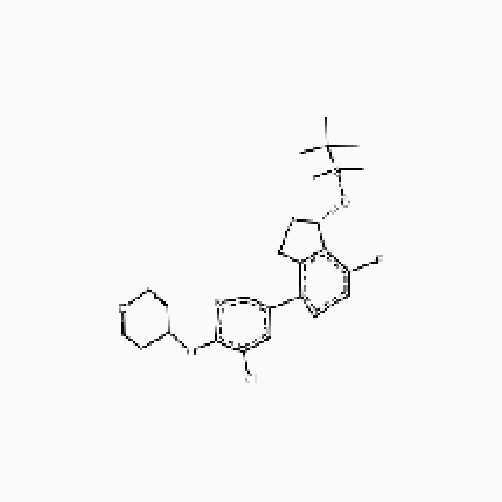 CC(C)(C)[Si](C)(C)O[C@H]1CCc2c(-c3cnc(OC4CCOCC4)c(Cl)c3)ccc(F)c21